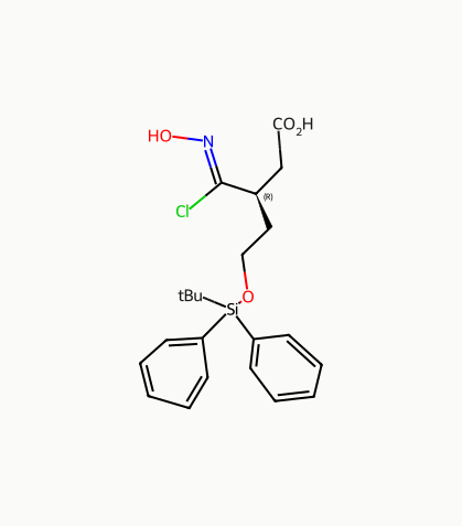 CC(C)(C)[Si](OCC[C@H](CC(=O)O)C(Cl)=NO)(c1ccccc1)c1ccccc1